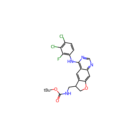 CC(C)(C)OC(=O)NCC1COc2cc3ncnc(Nc4ccc(Cl)c(Cl)c4F)c3cc21